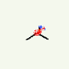 CCCCCCCCCCCCCC(=O)OC[C@H](COP(=O)(O)OCC(O)CN)OC(=O)CCCCCCCCCCCCC